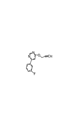 C#CCOc1cc(-c2cccc(F)c2)ncn1